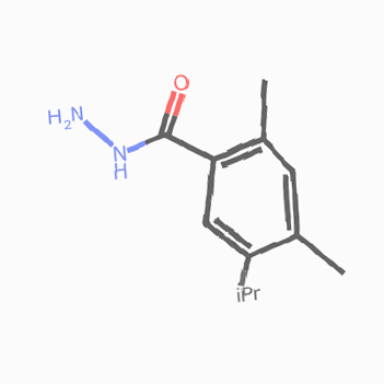 Cc1cc(C)c(C(C)C)cc1C(=O)NN